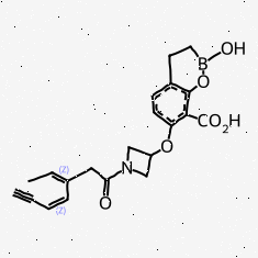 C#C/C=C\C(=C/C)CC(=O)N1CC(Oc2ccc3c(c2C(=O)O)OB(O)CC3)C1